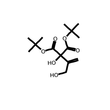 C=C(CO)C(O)(C(=O)OC(C)(C)C)C(=O)OC(C)(C)C